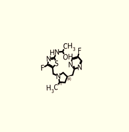 CC(O)Nc1nc(F)c(CN2C[C@@H](Cc3ncc(F)cn3)C[C@H]2C)s1